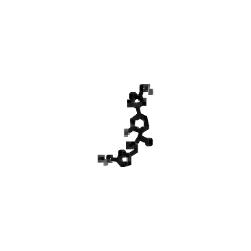 Cc1ccc(CNC(=O)c2ccc(-c3noc(C(F)(F)F)n3)cc2F)o1